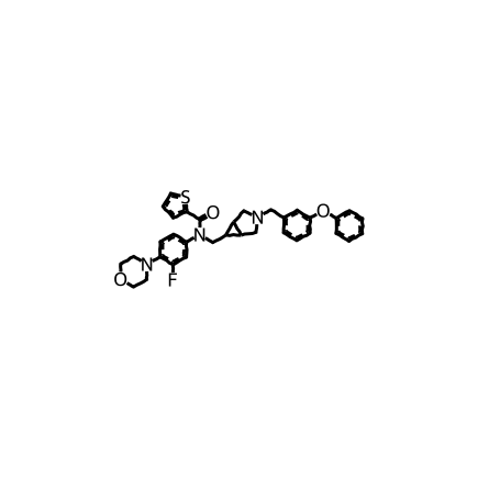 O=C(c1cccs1)N(CC1C2CN(Cc3cccc(Oc4ccccc4)c3)CC21)c1ccc(N2CCOCC2)c(F)c1